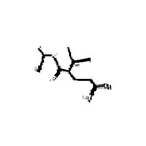 CC(C)OC(=O)C(CCC(=O)O)C(C)C